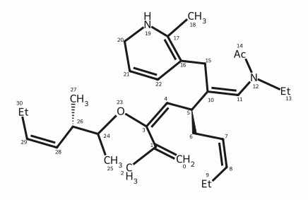 C=C(C)/C(=C\[C@H](C/C=C\CC)/C(=C/N(CC)C(C)=O)CC1=C(C)NCC=C1)OC(C)[C@@H](C)/C=C\CC